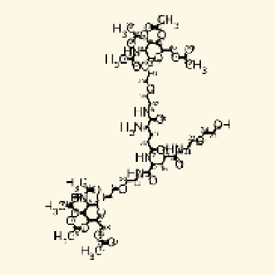 CC(=O)NC1C(OCCOCCNC(=O)[C@H](CCC(=O)NCCOCCO)NC(=O)CC[C@H](N)C(=O)NCCOCCOC2OC(COC(C)=O)C(OC(C)=O)C(OC(C)=O)C2NC(C)=O)OC(COC(C)=O)C(OC(C)=O)C1OC(C)=O